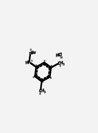 CCCCPc1cc(C)cc(C)c1.Cl